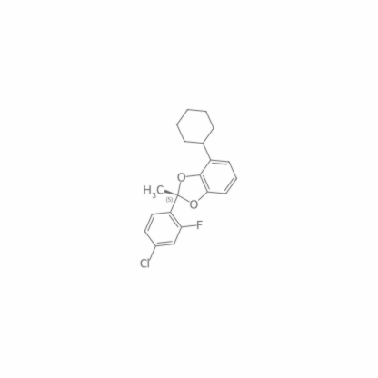 C[C@]1(c2ccc(Cl)cc2F)Oc2cccc(C3CCCCC3)c2O1